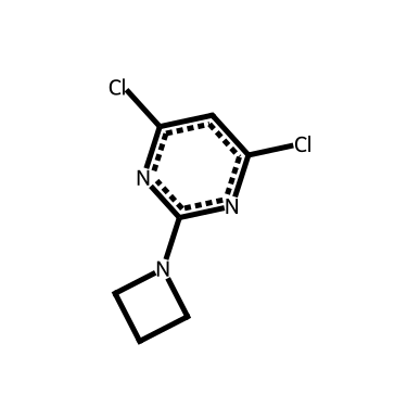 Clc1cc(Cl)nc(N2CCC2)n1